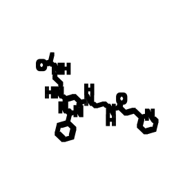 CC(=O)NCCNc1cc(NCCNC(=O)/C=C/c2ccccn2)nc(-c2ccccc2)n1